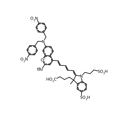 CC(C)(C)c1cc(/C=C/C=C/C=C2/N(CCCS(=O)(=O)O)c3ccc(S(=O)(=O)O)cc3C2(C)CCCC(=O)O)c2ccc(N(Cc3ccc([N+](=O)[O-])cc3)Cc3ccc([N+](=O)[O-])cc3)cc2[o+]1